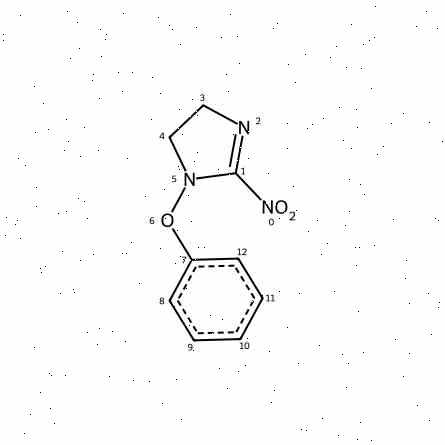 O=[N+]([O-])C1=NCCN1Oc1ccccc1